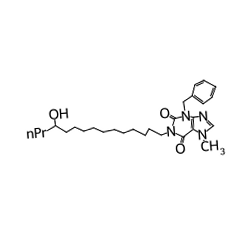 CCCC(O)CCCCCCCCCCCn1c(=O)c2c(ncn2C)n(Cc2ccccc2)c1=O